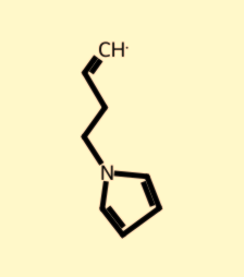 [CH]=CCCn1cccc1